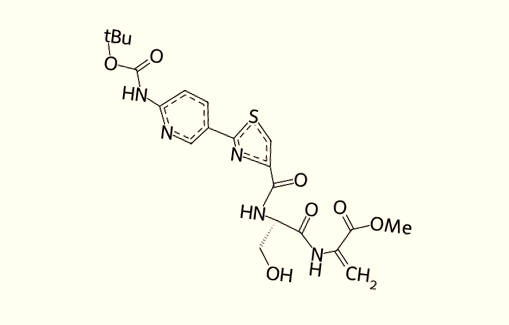 C=C(NC(=O)[C@H](CO)NC(=O)c1csc(-c2ccc(NC(=O)OC(C)(C)C)nc2)n1)C(=O)OC